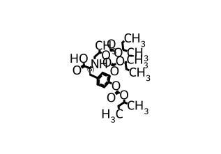 CCC(C)OC(=O)Oc1ccc(C[C@H](NCC(C)OC(=O)OC(C)CC)C(=O)O)cc1OC(=O)OC(C)CC